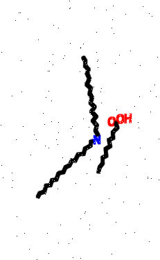 CCCCCCCCCCCC(=O)O.CCCCCCCCCCCCCCCCCCN(C)CCCCCCCCCCCCCCCCCC